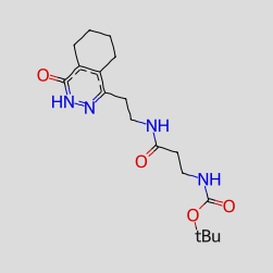 CC(C)(C)OC(=O)NCCC(=O)NCCc1n[nH]c(=O)c2c1CCCC2